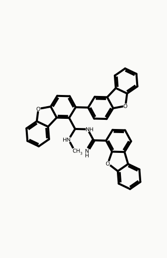 CNC(NC(=N)c1cccc2c1oc1ccccc12)c1c(-c2ccc3oc4ccccc4c3c2)ccc2oc3ccccc3c12